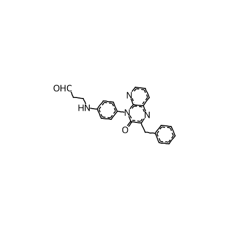 O=CCCNc1ccc(-n2c(=O)c(Cc3ccccc3)nc3cccnc32)cc1